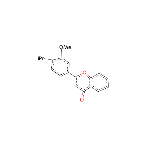 COc1cc(-c2cc(=O)c3ccccc3o2)ccc1C(C)C